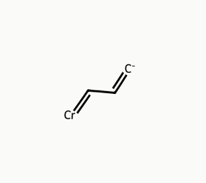 [CH-]=C[CH]=[Cr]